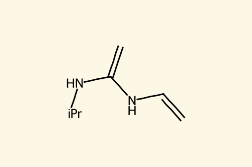 C=CNC(=C)NC(C)C